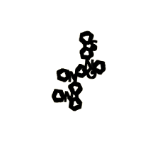 c1ccc(N(c2ccc3c(c2)Oc2ccccc2N3c2ccc3c(c2)sc2ccccc23)c2ccc3c4ccccc4n(-c4ccccc4)c3c2)cc1